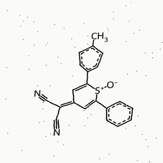 Cc1ccc(C2=CC(=C(C#N)C#N)C=C(c3ccccc3)[S+]2[O-])cc1